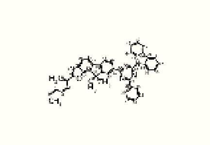 C=C(/C=C\C=C/C)c1nc2ccc3c(c2o1)C(C)(C)c1cc(-c2nc(-c4ccccc4)nc(-n4c5ccccc5c5ccccc54)n2)ccc1-3